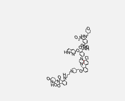 O=C1CCC(N2C(=O)c3cccc(NCCCCN4CCC(COc5cccc(-c6ccc(Cl)cc6)c5CN5CCN(c6ccc(C(=O)NS(=O)(=O)c7ccc(NCC8CCOCC8)c([N+](=O)[O-])c7)c(Oc7cnc8[nH]ccc8c7)c6)CC5)CC4)c3C2=O)C(=O)N1